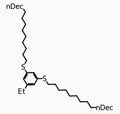 CCCCCCCCCCCCCCCCCCCSc1cc(CC)cc(SCCCCCCCCCCCCCCCCCCC)c1